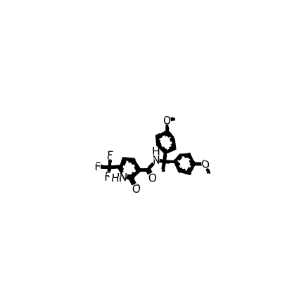 COc1ccc(C(C)(NC(=O)c2ccc(C(F)(F)F)[nH]c2=O)c2ccc(OC)cc2)cc1